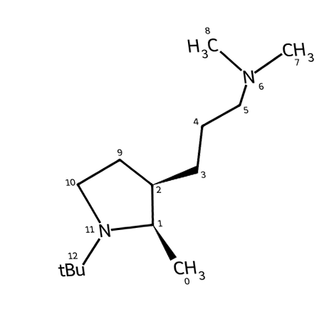 C[C@@H]1[C@H](CCCN(C)C)CCN1C(C)(C)C